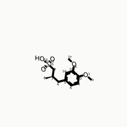 COc1ccc(C[C@@H](C)CS(=O)(=O)O)cc1OC